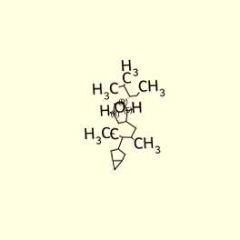 CCC(C(C)CC1C[C@@H]2C[C@H](C(CC)C(C)C)[C@H]1O2)C1CC2CC2C1